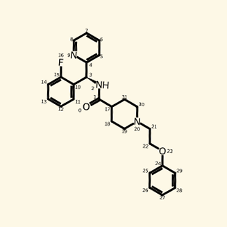 O=C(N[C@H](c1ccccn1)c1ccccc1F)C1CCN(CCOc2ccccc2)CC1